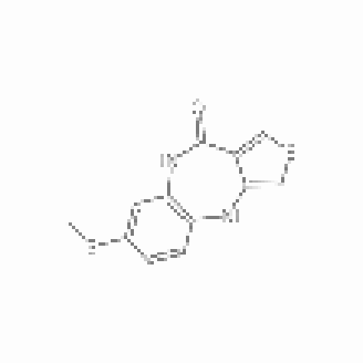 CSc1ccc2c(c1)NC(=O)c1cscc1N2